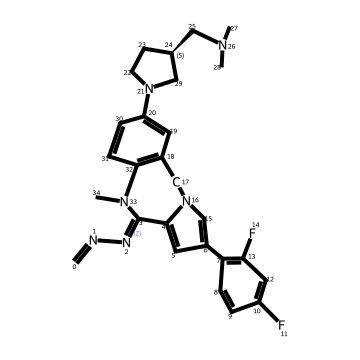 C=N/N=C1/c2cc(-c3ccc(F)cc3F)cn2Cc2cc(N3CC[C@@H](CN(C)C)C3)ccc2N1C